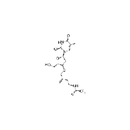 C=C(CCNC(=O)C(F)(F)F)CO[C@@H]1C[C@H](n2cc(C)c(=O)[nH]c2=O)O[C@@H]1CO